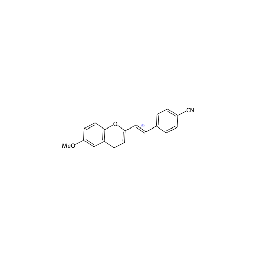 COc1ccc2c(c1)CC=C(/C=C/c1ccc(C#N)cc1)O2